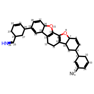 N#CC1=CC(C2C=CC3OC4=C(CCC5=C4OC4C=CC(C6C=CCC(C=N)C6)=CC54)C3C2)CC=C1